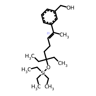 CCC(CC)(CC/C=C(\C)c1cccc(CO)c1)O[Si](CC)(CC)CC